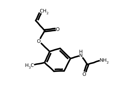 C=CC(=O)Oc1cc(NC(N)=O)ccc1C